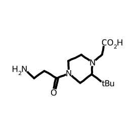 CC(C)(C)C1CN(C(=O)CCN)CCN1CC(=O)O